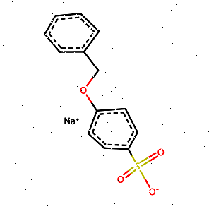 O=S(=O)([O-])c1ccc(OCc2ccccc2)cc1.[Na+]